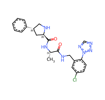 C[C@H](NC(=O)[C@H]1C[C@H](c2ccccc2)CN1)C(=O)NCc1cc(Cl)ccc1-n1ncnn1